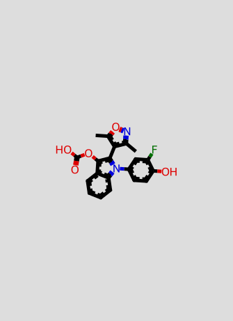 Cc1noc(C)c1-c1c(OC(=O)O)c2ccccc2n1-c1ccc(O)c(F)c1